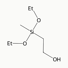 CCO[Si](C)(CCO)OCC